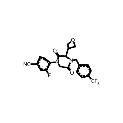 N#Cc1ccc(N2CC(=O)N(Cc3ccc(C(F)(F)F)cc3)C(C3COC3)C2=O)c(F)c1